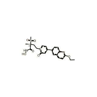 CCOc1ccc2cc(-c3ccn(CC[C@](C)(C(=O)NO)S(C)(=O)=O)c(=O)c3)ccc2n1